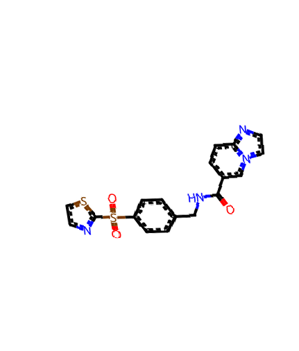 O=C(NCc1ccc(S(=O)(=O)c2nccs2)cc1)c1ccc2nccn2c1